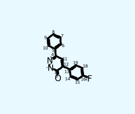 O=C1[N]N=C(c2ccccc2)C=C1c1ccc(F)cc1